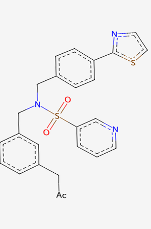 CC(=O)Cc1cccc(CN(Cc2ccc(-c3nccs3)cc2)S(=O)(=O)c2cccnc2)c1